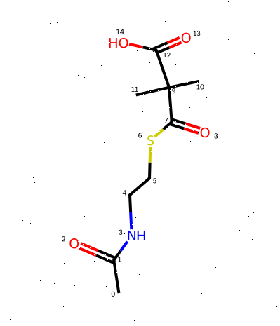 CC(=O)NCCSC(=O)C(C)(C)C(=O)O